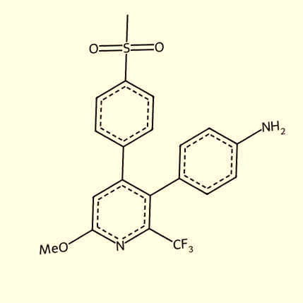 COc1cc(-c2ccc(S(C)(=O)=O)cc2)c(-c2ccc(N)cc2)c(C(F)(F)F)n1